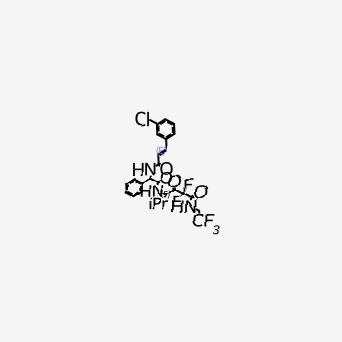 CC(C)[C@H](NC(=O)C(NC(=O)/C=C/c1cccc(Cl)c1)c1ccccc1)C(=O)C(F)(F)C(=O)NCC(F)(F)F